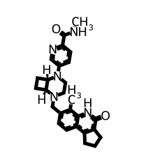 CNC(=O)c1ccc(N2CCN(Cc3ccc4c5c(c(=O)[nH]c4c3C)CCC5)[C@@H]3CC[C@@H]32)cn1